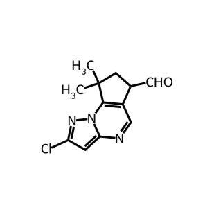 CC1(C)CC(C=O)c2cnc3cc(Cl)nn3c21